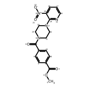 COC(=O)c1ccc(C(=O)N2CCN(c3ncccc3[N+](=O)[O-])CC2)cc1